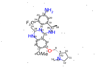 COc1cc2c(cc1OC[C@@H]1CCCN1C)C(N[C@H](C)c1cc(N)cc(C(F)(F)F)c1)=NC(C)N2